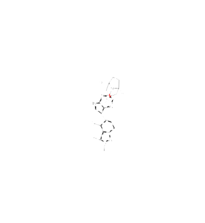 Cn1nc2ccc(-c3c[nH]c4nc(N5[C@@H]6CC[C@H]5C[C@@H](N)C6)cnc34)c(Cl)c2c1Cl